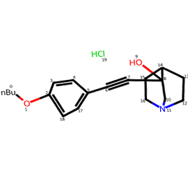 CCCCOc1ccc(C#CC2(O)CN3CCC2CC3)cc1.Cl